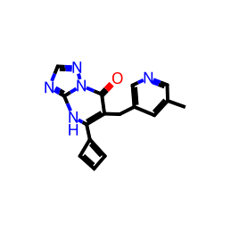 Cc1cncc(Cc2c(C3=CC=C3)[nH]c3ncnn3c2=O)c1